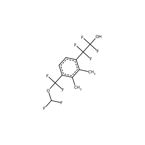 Cc1c(C(F)(F)OC(F)F)ccc(C(F)(F)C(O)(F)F)c1C